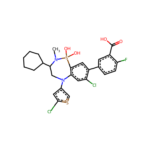 CN1C(C2CCCCC2)CN(c2csc(Cl)c2)c2cc(Cl)c(-c3ccc(F)c(C(=O)O)c3)cc2S1(O)O